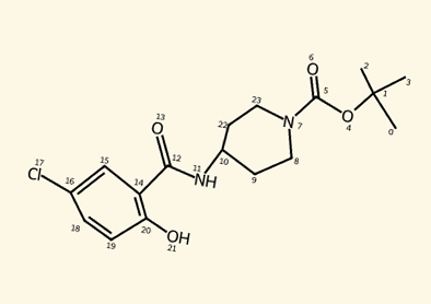 CC(C)(C)OC(=O)N1CCC(NC(=O)c2cc(Cl)ccc2O)CC1